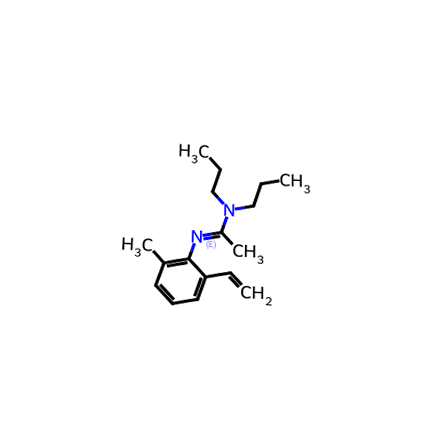 C=Cc1cccc(C)c1/N=C(\C)N(CCC)CCC